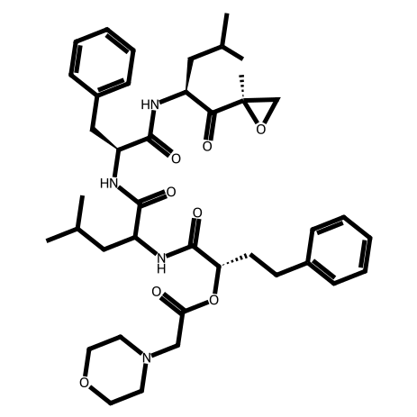 CC(C)CC(NC(=O)[C@H](CCc1ccccc1)OC(=O)CN1CCOCC1)C(=O)N[C@@H](Cc1ccccc1)C(=O)N[C@@H](CC(C)C)C(=O)[C@@]1(C)CO1